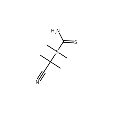 CC(C)(C#N)S(C)(C)C(N)=S